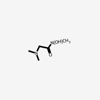 CN(C)CC(=O)N(C)O